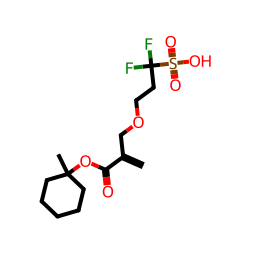 C=C(COCCC(F)(F)S(=O)(=O)O)C(=O)OC1(C)CCCCC1